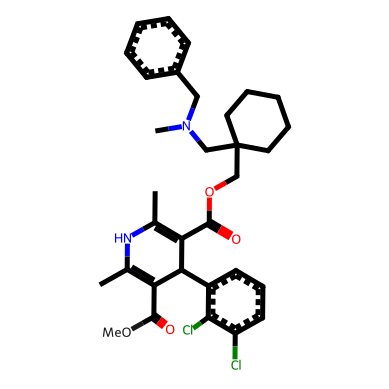 COC(=O)C1=C(C)NC(C)=C(C(=O)OCC2(CN(C)Cc3ccccc3)CCCCC2)C1c1cccc(Cl)c1Cl